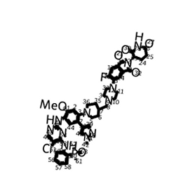 COc1cc(N2CCC(CN3CCN(c4cc5c(cc4F)C(=O)N(C4CCC(=O)NC4=O)C5=O)CC3)CC2)c(-c2cnn(C)c2)cc1Nc1ncc(Cl)c(Nc2ccccc2P(C)(C)=O)n1